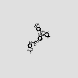 C[C@@H]1C[C@@H](n2c(Nc3ccc(OC(F)(F)F)cc3)nc3cc(OCC(=O)Nc4cccc(OC(F)F)c4)ccc32)CC(C)(C)C1